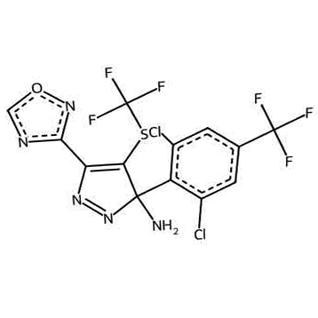 NC1(c2c(Cl)cc(C(F)(F)F)cc2Cl)N=NC(c2ncon2)=C1SC(F)(F)F